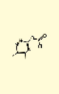 Cc1nnc(OC(=O)Cl)nc1C